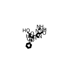 Nc1nc2c(c(=O)[nH]1)N=C[C@@H]2C1O[C@H](CO)[C@H]2OB(c3ccccc3)O[C@@H]12